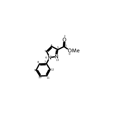 COC(=O)c1ccn(-c2ccccc2)n1